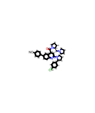 N#Cc1ccc(-c2ccc3nc(N4CCCC4c4ccc(Cl)cc4)cc(C(=O)N4CCC[C@H]4CN4CCCC4)c3c2)cc1